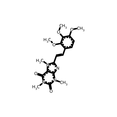 COc1ccc(C=Cc2nc3c(c(=O)n(C)c(=O)n3C)n2C)c(OC)c1OC